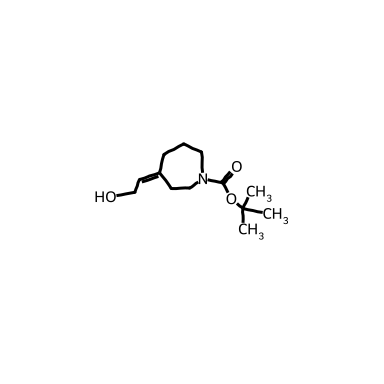 CC(C)(C)OC(=O)N1CCC/C(=C/CO)CC1